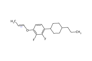 C/C=C/Oc1ccc(C2CCC(CCC)CC2)c(F)c1F